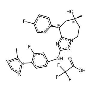 Cc1ncnn1-c1ccc(Nc2nc3n(n2)CC[C@@](C)(O)C[C@@H]3c2ccc(F)cc2)cc1F.O=C(O)C(F)(F)F